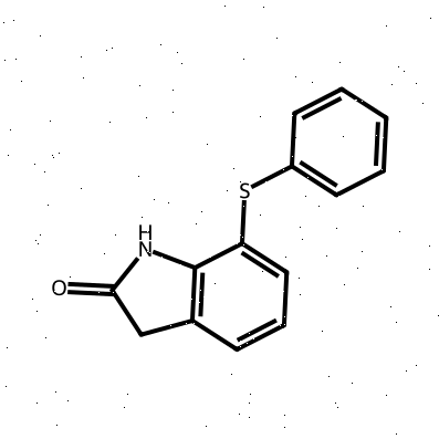 O=C1Cc2cccc(Sc3ccccc3)c2N1